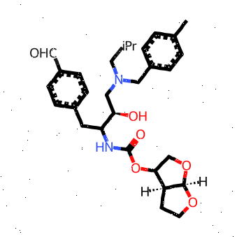 Cc1ccc(CN(CC(C)C)C[C@@H](O)C(Cc2ccc(C=O)cc2)NC(=O)OC2CO[C@H]3OCC[C@@H]23)cc1